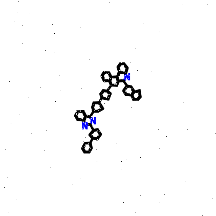 c1ccc(-c2cccc(-c3nc(-c4ccc(-c5ccc(-c6cc7c(-c8ccc9ccccc9c8)nc8ccccc8c7c7ccccc67)cc5)cc4)c4ccccc4n3)c2)cc1